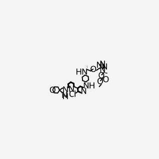 CCOC(=O)O[C@H](C)n1nnnc1COC[C@@H](C)N[C@H]1CC[C@H](Nc2cc(-c3cccc(NCC4(C#N)CCOCC4)n3)c(Cl)cn2)CC1